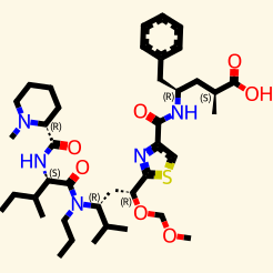 CCCN(C(=O)[C@@H](NC(=O)[C@H]1CCCCN1C)C(C)CC)[C@H](C[C@@H](OCOC)c1nc(C(=O)N[C@@H](Cc2ccccc2)C[C@H](C)C(=O)O)cs1)C(C)C